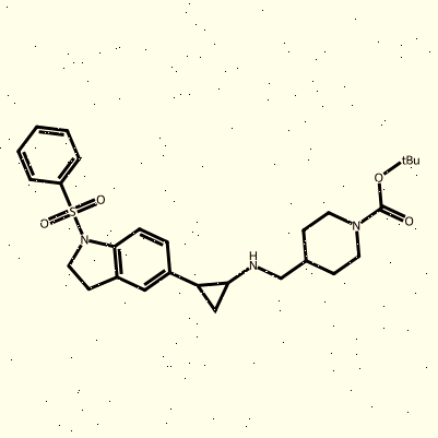 CC(C)(C)OC(=O)N1CCC(CNC2CC2c2ccc3c(c2)CCN3S(=O)(=O)c2ccccc2)CC1